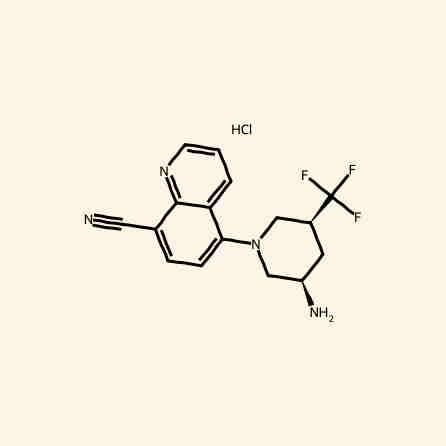 Cl.N#Cc1ccc(N2C[C@H](N)C[C@H](C(F)(F)F)C2)c2cccnc12